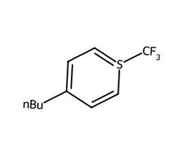 [CH2]CCCC1=CC=S(C(F)(F)F)C=C1